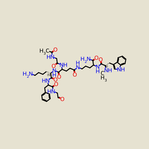 CN[C@@H](Cc1c[nH]c2ccccc12)C(=O)NC(CCCNC(=O)CCC(NC(=O)CNC(C)=O)C(=O)N[C@@H](CCCCN)C(=O)NC(Cc1ccccc1)C(=O)NCC=O)C(N)=O